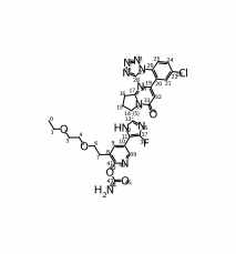 CCOCCOCCc1cc(-c2[nH]c([C@@H]3CCc4nc(-c5cc(Cl)ccc5-n5cnnn5)cc(=O)n43)nc2F)cnc1OC(N)=O